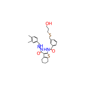 Cc1ccc(/C=N/NC(=O)c2c(NC(=O)c3cccc(CSCCCO)c3)sc3c2CCCC3)cc1C